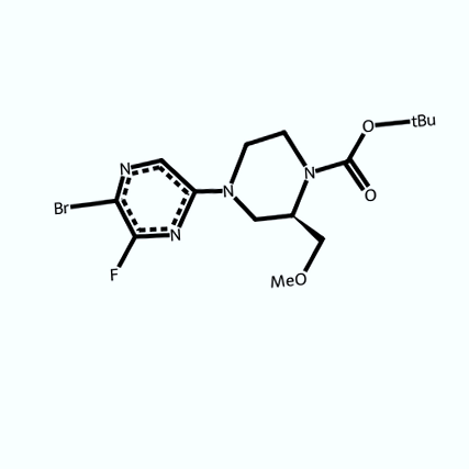 COC[C@H]1CN(c2cnc(Br)c(F)n2)CCN1C(=O)OC(C)(C)C